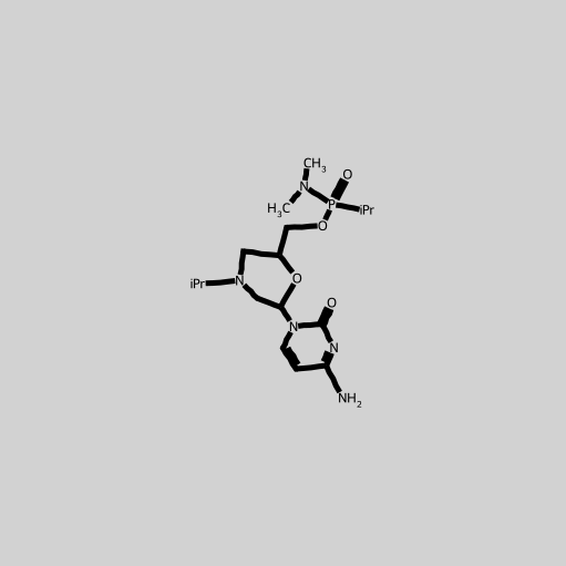 CC(C)N1CC(COP(=O)(C(C)C)N(C)C)OC(n2ccc(N)nc2=O)C1